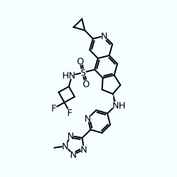 Cn1nnc(-c2ccc(N[C@@H]3Cc4cc5cnc(C6CC6)cc5c(S(=O)(=O)NC5CC(F)(F)C5)c4C3)cn2)n1